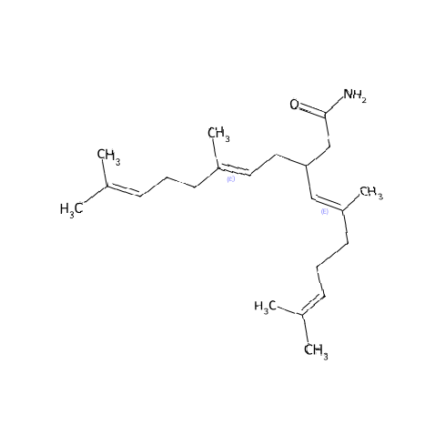 CC(C)=CCC/C(C)=C/CC(/C=C(\C)CCC=C(C)C)CC(N)=O